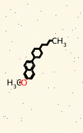 CCCCC1CCC(c2ccc3cc(OC)ccc3c2)CC1